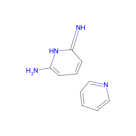 N=c1cccc(N)[nH]1.c1ccncc1